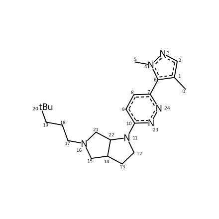 Cc1cnn(C)c1-c1ccc(N2CCC3CN(CCCC(C)(C)C)CC32)nn1